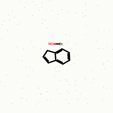 C1=Cc2ccccc2C1.CCO